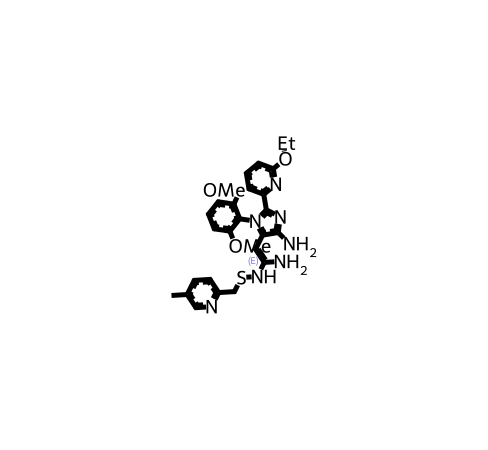 CCOc1cccc(-c2nc(N)c(/C=C(\N)NSCc3ccc(C)cn3)n2-c2c(OC)cccc2OC)n1